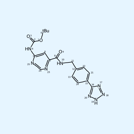 CC(C)(C)OC(=O)Nc1cc(C(=O)NCc2ccc(-c3nn[nH]n3)cc2)ncn1